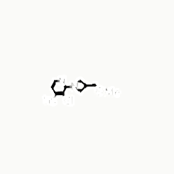 COCC1CN(c2nccc(S)c2Cl)C1